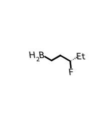 BCC[C@@H](F)CC